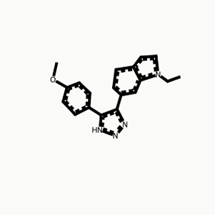 CCn1ccc2ccc(-c3nn[nH]c3-c3ccc(OC)cc3)cc21